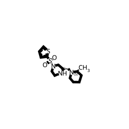 C[C@H]1CCCCN1C[C@H]1CN(S(=O)(=O)c2cccs2)CCN1